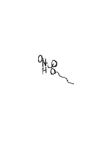 CCCCCOC(=O)CCN[C]=O